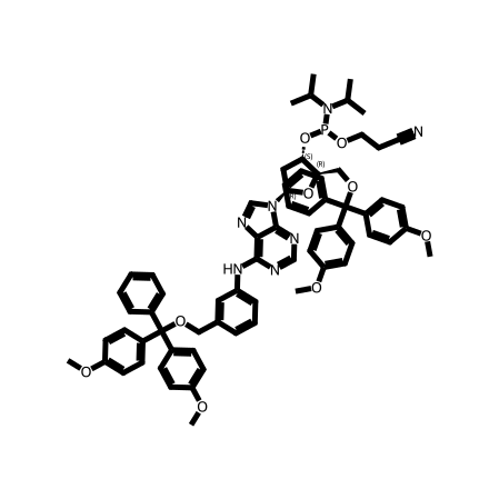 COc1ccc(C(OCc2cccc(Nc3ncnc4c3ncn4[C@H]3C[C@H](OP(OCCC#N)N(C(C)C)C(C)C)[C@@H](COC(c4ccccc4)(c4ccc(OC)cc4)c4ccc(OC)cc4)O3)c2)(c2ccccc2)c2ccc(OC)cc2)cc1